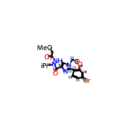 COCC(=O)NN(C(=O)c1cn2c(n1)-c1ccc(Br)cc1OCC2)C(C)C